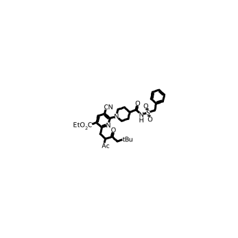 CCOC(=O)c1cc(C#N)c(N2CCC(C(=O)NS(=O)(=O)Cc3ccccc3)CC2)nc1CC(C(C)=O)C(=O)CC(C)(C)C